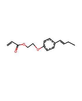 C=CC(=O)OCCOc1ccc(C=CCC)cc1